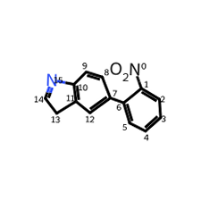 O=[N+]([O-])c1ccccc1-c1ccc2c(c1)CC=N2